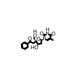 Cc1cn([C@H]2C[C@H](O)[C@](CO)(CC(=O)c3ccccc3)O2)c(=O)[nH]c1=O